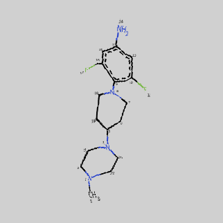 CN1CCN(C2CCN(c3c(F)cc(N)cc3F)CC2)CC1